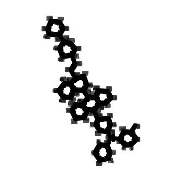 Cc1cccc(N(c2ccccc2)c2ccc(-c3c4ccccc4c(-c4ccc(/C=C/c5ccc(-c6ccccc6)cc5)c5ccccc45)c4ccccc34)cc2)c1